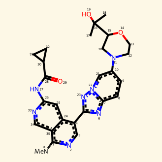 CNc1ncc(-c2nc3ccc(N4CCOC(C(C)(C)O)C4)cn3n2)c2cc(NC(=O)C3CC3)ncc12